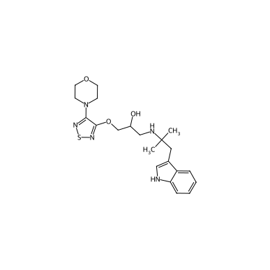 CC(C)(Cc1c[nH]c2ccccc12)NCC(O)COc1nsnc1N1CCOCC1